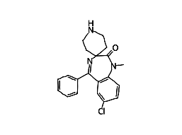 CN1C(=O)C2(CCNCC2)N=C(c2ccccc2)c2cc(Cl)ccc21